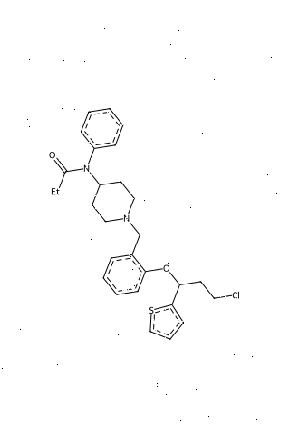 CCC(=O)N(c1ccccc1)C1CCN(Cc2ccccc2OC(CCCl)c2cccs2)CC1